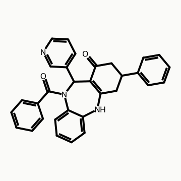 O=C1CC(c2ccccc2)CC2=C1C(c1cccnc1)N(C(=O)c1ccccc1)c1ccccc1N2